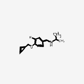 CC(C)NCc1ccc(OCC2CC2)c(F)c1